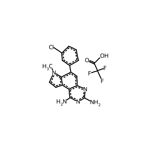 Cn1ccc2c3c(N)nc(N)nc3cc(-c3cccc(Cl)c3)c21.O=C(O)C(F)(F)F